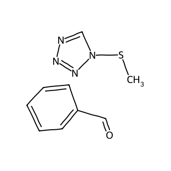 CSn1cnnn1.O=Cc1ccccc1